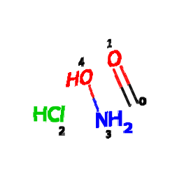 C=O.Cl.NO